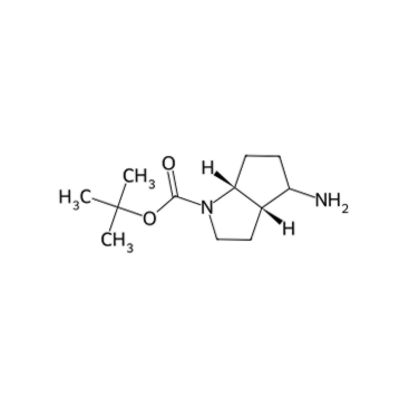 CC(C)(C)OC(=O)N1CC[C@H]2C(N)CC[C@H]21